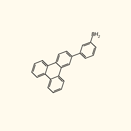 Bc1cccc(-c2ccc3c4ccccc4c4ccccc4c3c2)c1